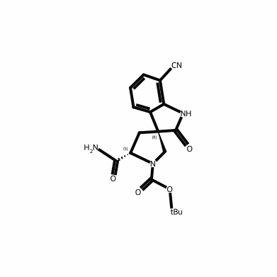 CC(C)(C)OC(=O)N1C[C@]2(C[C@H]1C(N)=O)C(=O)Nc1c(C#N)cccc12